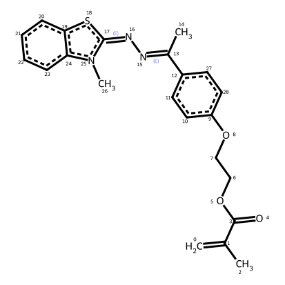 C=C(C)C(=O)OCCOc1ccc(/C(C)=N/N=c2/sc3ccccc3n2C)cc1